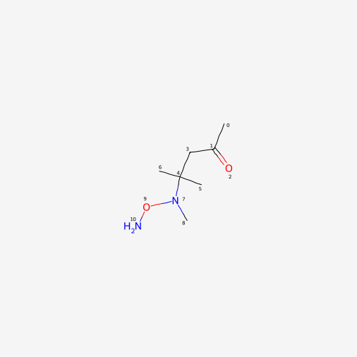 CC(=O)CC(C)(C)N(C)ON